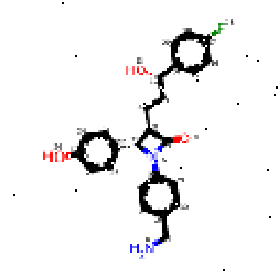 NCc1ccc(N2C(=O)[C@H](CC[C@H](O)c3ccc(F)cc3)[C@H]2c2ccc(O)cc2)cc1